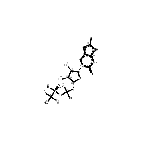 CCC(CC)(C[C@H]1O[C@@H](n2cc3cc(C)[nH]c3nc2=O)[C@H](O)[C@@H]1O)OP(=O)(O)C(O)(CC)CC